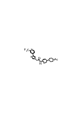 CC(=O)N1CCN(C2C=CC(NC(=O)Cn3cnc(-c4ccnc(C(F)(F)F)c4)c3)=NC2)CC1